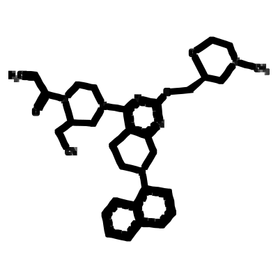 C=CC(=O)N1CCN(c2nc(OC[C@@H]3CN(C)CCO3)nc3c2CCN(c2cccc4ccccc24)C3)CC1CC#N